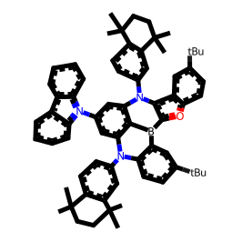 CC(C)(C)c1ccc2c(c1)B1c3oc4ccc(C(C)(C)C)cc4c3N(c3ccc4c(c3)C(C)(C)CCC4(C)C)c3cc(-n4c5ccccc5c5ccccc54)cc(c31)N2c1ccc2c(c1)C(C)(C)CCC2(C)C